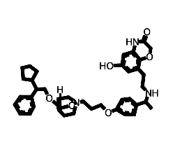 CC(NCCc1cc(O)cc2c1OCC(=O)N2)c1ccc(OCCC[N+]23CCC(CC2)[C@H](OCC(c2ccccc2)C2CCCC2)C3)cc1